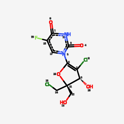 O=c1[nH]c(=O)n(C2=C(Cl)[C@H](O)[C@](CO)(CCl)O2)cc1F